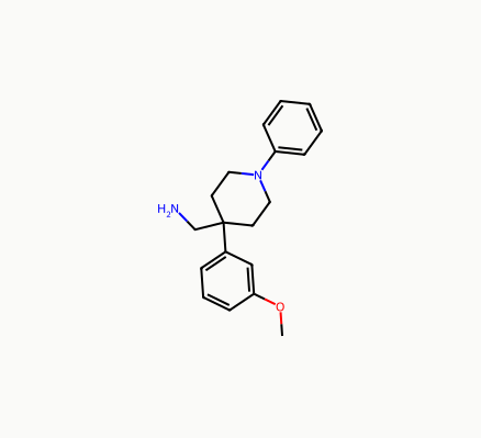 COc1cccc(C2(CN)CCN(c3ccccc3)CC2)c1